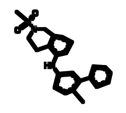 Cc1ccc(Nc2cccc3c2CCN(S(C)(=O)=O)C3)cc1-c1ccccc1